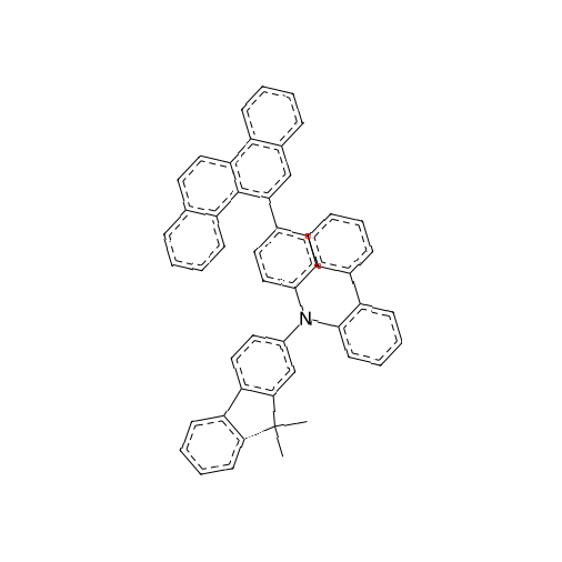 CC1(C)c2ccccc2-c2ccc(N(c3ccc(-c4cc5ccccc5c5ccc6ccccc6c45)cc3)c3ccccc3-c3ccccc3)cc21